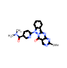 CSc1ncc2c(=O)n3c(nc2n1)c1ccccc1n3-c1ccc(C(=O)N(C)C)cn1